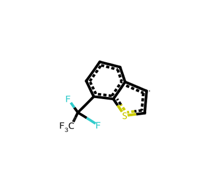 FC(F)(F)C(F)(F)c1cccc2[c]csc12